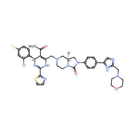 COC(=O)C1=C(CN2CCN3C(=O)N(c4ccc(-c5cnc(CN6CCOCC6)[nH]5)cc4)C[C@@H]3C2)NC(c2nccs2)=N[C@H]1c1ccc(F)cc1Cl